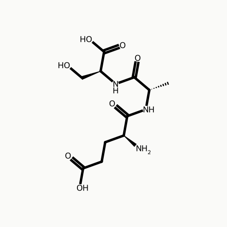 C[C@H](NC(=O)[C@@H](N)CCC(=O)O)C(=O)N[C@@H](CO)C(=O)O